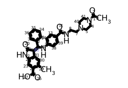 CC(=O)N1CCN(CCNC(=O)c2ccc(N/C(=C3/C(=O)Nc4cc(C(=O)O)c(C)cc43)c3ccccc3)cc2)CC1